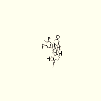 CC#C[C@]1(O)CC[C@H]2[C@@H]3CCC4=CC(=O)CC[C@@H]4[C@H]3[C@@H](c3cc(F)c(C)c(F)c3)C[C@@]21C